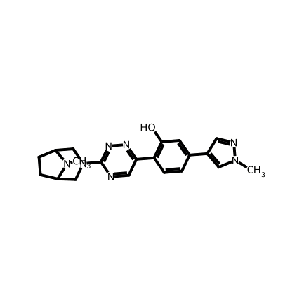 CN1C2CCC1CN(c1ncc(-c3ccc(-c4cnn(C)c4)cc3O)nn1)C2